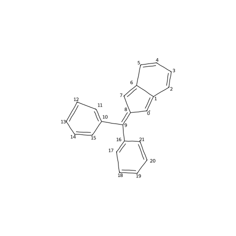 [C]1=c2ccccc2=CC1=C(c1ccccc1)c1ccccc1